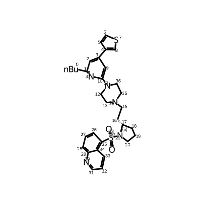 CCCCc1cc(-c2ccsc2)cc(N2CCN(CC[C@@H]3CCCN3S(=O)(=O)c3cccc4ncccc34)CC2)n1